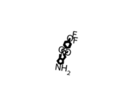 NC1CC2CN(S(=O)(=O)c3ccc(OC(F)F)cc3)CC2C1